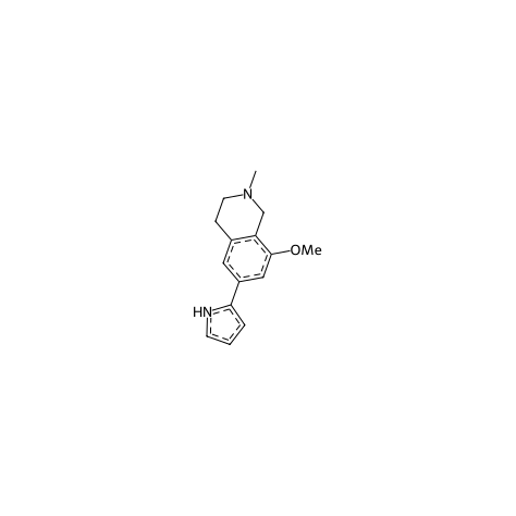 COc1cc(-c2ccc[nH]2)cc2c1CN(C)CC2